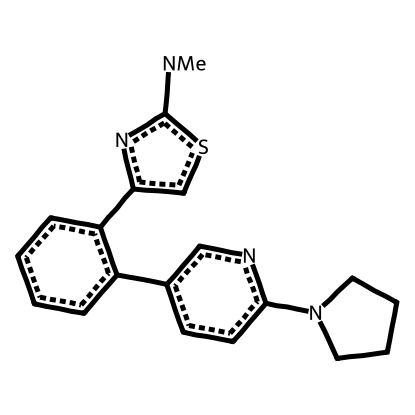 CNc1nc(-c2ccccc2-c2ccc(N3CCCC3)nc2)cs1